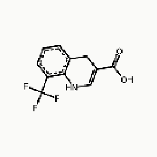 O=C(O)C1=CNc2c(cccc2C(F)(F)F)C1